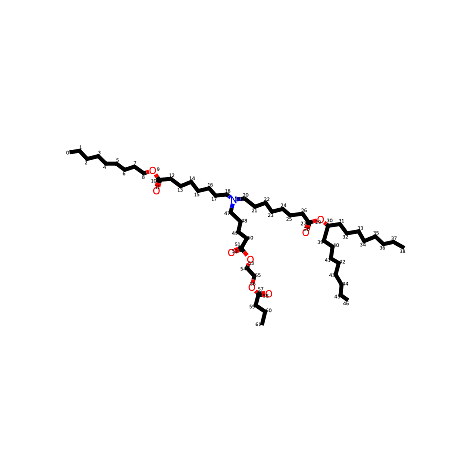 CCCCCCCCCOC(=O)CCCCCCCN(CCCCCCCC(=O)OC(CCCCCCCC)CCCCCCCC)CCCCC(=O)OCCOC(=O)CCC